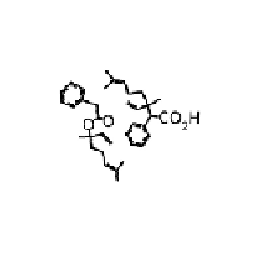 C=CC(C)(CCC=C(C)C)C(C(=O)O)c1ccccc1.C=CC(C)(CCC=C(C)C)OC(=O)Cc1ccccc1